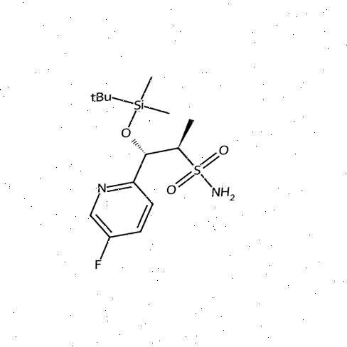 C[C@H]([C@@H](O[Si](C)(C)C(C)(C)C)c1ccc(F)cn1)S(N)(=O)=O